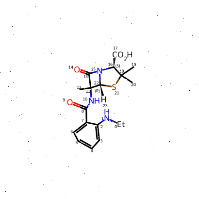 CCNc1ccccc1C(=O)NC1(C)C(=O)N2[C@@H](C(=O)O)C(C)(C)S[C@@H]21